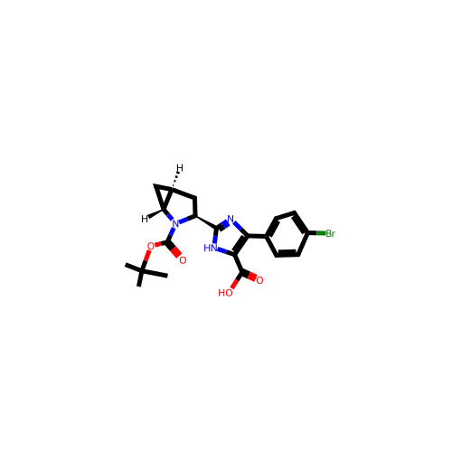 CC(C)(C)OC(=O)N1[C@@H]2C[C@H]2C[C@H]1c1nc(-c2ccc(Br)cc2)c(C(=O)O)[nH]1